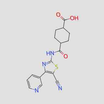 N#Cc1sc(NC(=O)C2CCC(C(=O)O)CC2)nc1-c1cccnc1